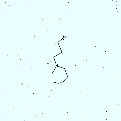 [NH]CCCN1CCOCC1